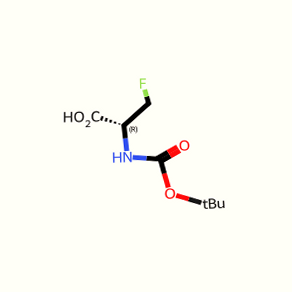 CC(C)(C)OC(=O)N[C@@H](CF)C(=O)O